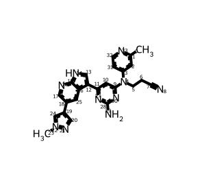 Cc1cc(N(CCC#N)c2cc(-c3c[nH]c4ncc(-c5cnn(C)c5)cc34)nc(N)n2)ccn1